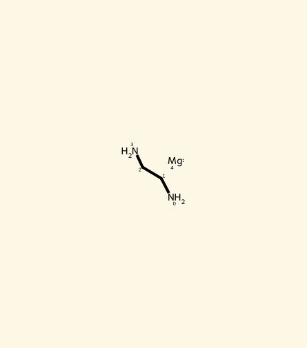 NCCN.[Mg]